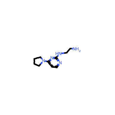 NCCNc1nccc(N2CCCC2)n1